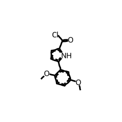 COc1ccc(OC)c(-c2ccc(C(=O)Cl)[nH]2)c1